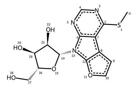 CSc1ncnc2c1c1ccoc1n2[C@@H]1O[C@H](CO)[C@@H](O)[C@H]1O